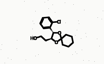 OCC[C@@H]1OC2(CCCCC2)O[C@H]1c1ccccc1Cl